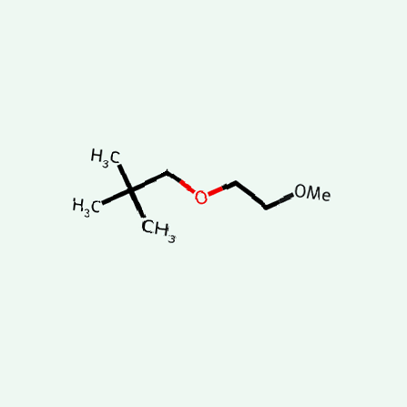 COCCO[CH]C(C)(C)C